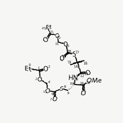 CCC(=O)OCOC(=O)SC[C@H](NC(=O)C(C)(C)SC(=O)OCOC(=O)CC)C(=O)OC